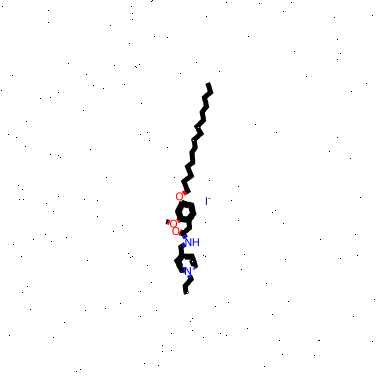 CCCCCCCCCCCCCCCCOc1ccc(CC(=O)NCc2cc[n+](CCC)cc2)c(OC)c1.[I-]